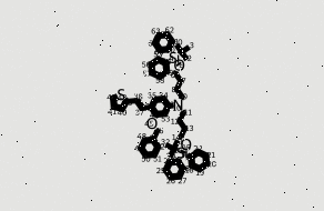 CC(C)(C)[Si](OCCCCN(CCCCO[Si](c1ccccc1)(c1ccccc1)C(C)(C)C)c1ccc(/C=C/c2cccs2)c(OCc2ccccc2)c1)(c1ccccc1)c1ccccc1